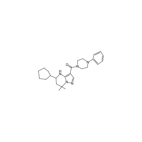 CC1(C)CC(C2CCCCC2)Nc2c(C(=O)N3CCN(c4ccccc4)CC3)cnn21